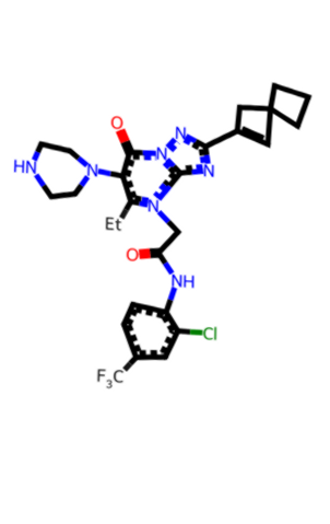 CCc1c(N2CCNCC2)c(=O)n2nc(C3=CC4(CCC4)C3)nc2n1CC(=O)Nc1ccc(C(F)(F)F)cc1Cl